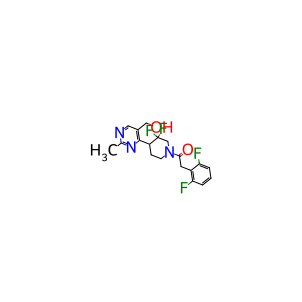 Cc1ncc(CO)c(C2CCN(C(=O)Cc3c(F)cccc3F)CC2(F)F)n1